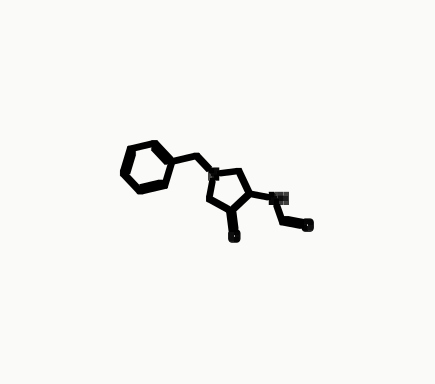 O=CNC1CN(Cc2ccccc2)CC1=O